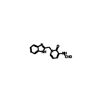 O=CNc1cccn(Cc2nc3ccccc3[nH]2)c1=O